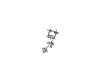 CCC1=C(C)c2cc3[nH]c(cc4nc(c(C)c5cc(C)c(cc1n2)[nH]5)[C@@H](CCC(=O)N[C@@H](CCCCNC(=O)OC(C)(C)C)C(=O)N(C)C)[C@@H]4C)c(C)c3CC